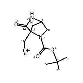 CC(C)(C)OC(=O)N1CC2CC1(CO)C(=O)N2